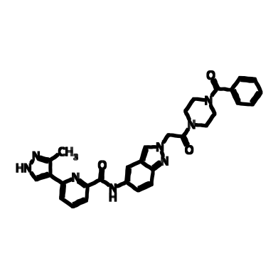 Cc1n[nH]cc1-c1cccc(C(=O)Nc2ccc3nn(CC(=O)N4CCN(C(=O)c5ccccc5)CC4)cc3c2)n1